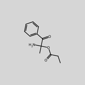 CCC(=O)OC(C)(N)C(=O)c1ccccc1